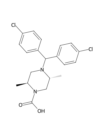 C[C@@H]1CN(C(=O)O)[C@@H](C)CN1C(c1ccc(Cl)cc1)c1ccc(Cl)cc1